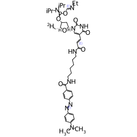 [2H]C[C@H]1O[C@@H](n2cc(/C=C/C(=O)NCCCCCCNC(=O)c3ccc(/N=N/c4ccc(N(C)C)cc4)cc3)c(=O)[nH]c2=O)CC1OP(O/C=N/CC)N(C(C)C)C(C)C